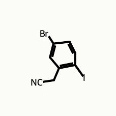 N#CCc1cc(Br)ccc1I